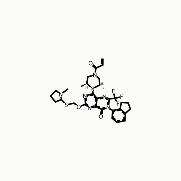 C=CC(=O)N1C[C@H](C)N(c2nc(OCSC3CCCN3C)nc3c(=O)n(-c4cccc5c4CCC5)c(C(F)(F)F)nc23)[C@@H](C)C1